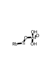 O=[As](O)(O)[O][Ti][Rb]